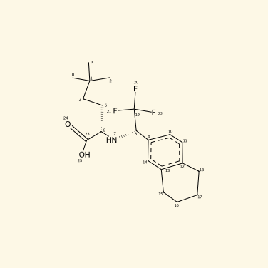 CC(C)(C)CC[C@H](N[C@@H](c1ccc2c(c1)CCCC2)C(F)(F)F)C(=O)O